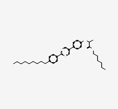 CCCCCCCCCc1ccc(-c2ncc(-c3ccc(OC(C)C(=O)OCCCCCC)cc3)cn2)cc1